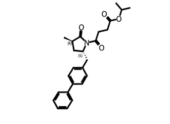 CC(C)OC(=O)CCC(=O)N1C(=O)[C@H](C)C[C@H]1Cc1ccc(-c2ccccc2)cc1